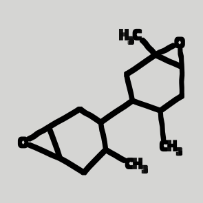 CC1CC2OC2CC1C1CC2(C)OC2CC1C